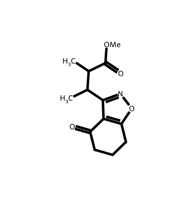 COC(=O)C(C)C(C)c1noc2c1C(=O)CCC2